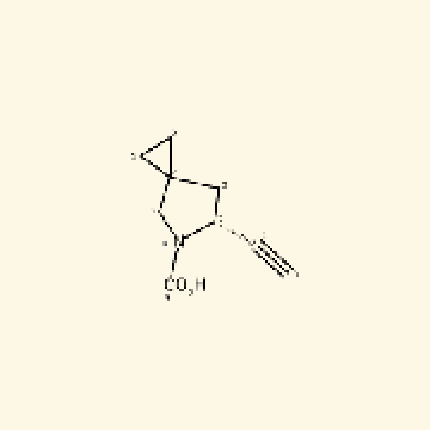 C#C[C@H]1CC2(CC2)CN1C(=O)O